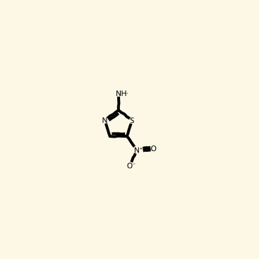 [NH]c1ncc([N+](=O)[O-])s1